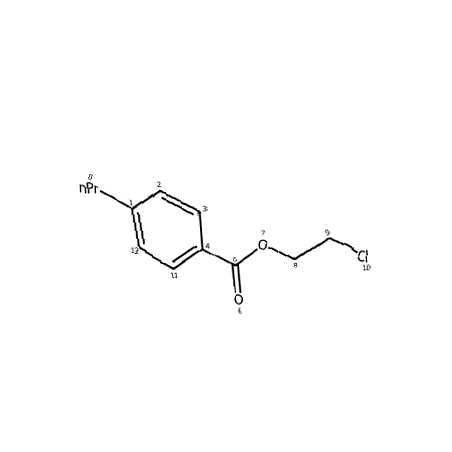 CCCc1ccc(C(=O)OCCCl)cc1